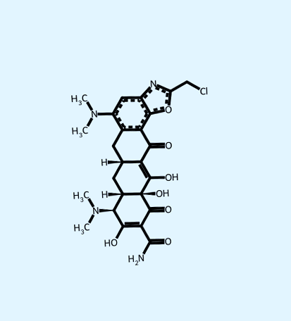 CN(C)c1cc2nc(CCl)oc2c2c1C[C@H]1C[C@H]3[C@H](N(C)C)C(O)=C(C(N)=O)C(=O)[C@@]3(O)C(O)=C1C2=O